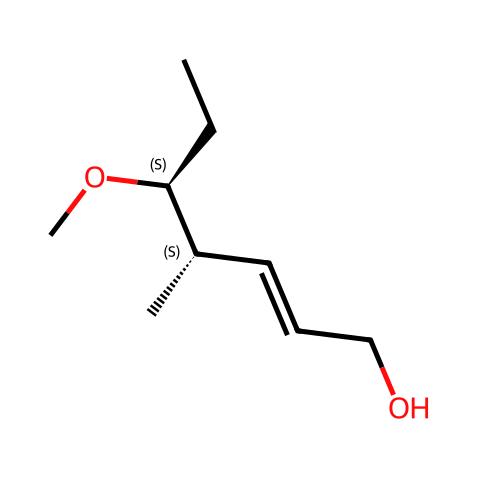 CC[C@H](OC)[C@@H](C)C=CCO